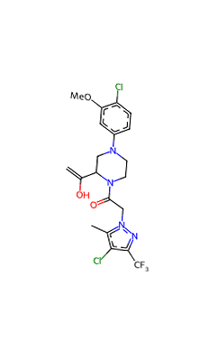 C=C(O)C1CN(c2ccc(Cl)c(OC)c2)CCN1C(=O)Cn1nc(C(F)(F)F)c(Cl)c1C